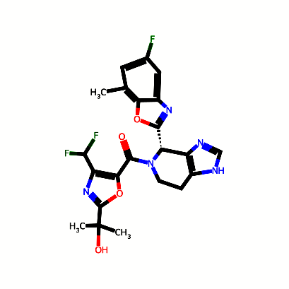 Cc1cc(F)cc2nc([C@@H]3c4nc[nH]c4CCN3C(=O)c3oc(C(C)(C)O)nc3C(F)F)oc12